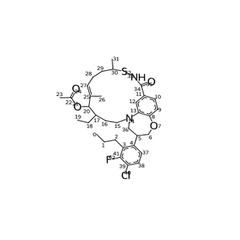 CCCc1c(C2COc3ccc4cc3N(CCC(CC)C(OC(C)=O)/C(C)=C/CCC(C)SNC4=O)C2)ccc(Cl)c1F